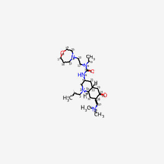 CCCN1C[C@@H](NC(=O)N(CC)CCN2CCCOCC2)C[C@@H]2CC(=O)C(=CN(C)C)C[C@H]21